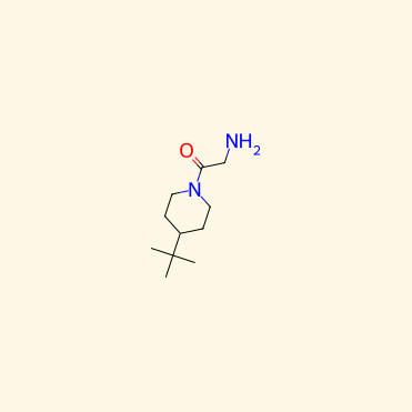 CC(C)(C)C1CCN(C(=O)CN)CC1